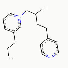 CC(C)CCc1ccc[n+](CC(C)CCc2ccncc2)c1